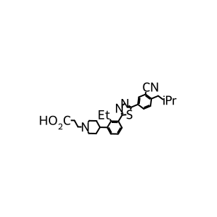 CCc1c(-c2nnc(-c3ccc(CC(C)C)c(C#N)c3)s2)cccc1C1CCN(CCC(=O)O)CC1